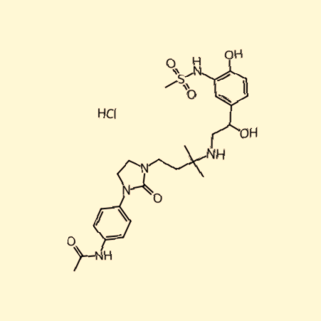 CC(=O)Nc1ccc(N2CCN(CCC(C)(C)NCC(O)c3ccc(O)c(NS(C)(=O)=O)c3)C2=O)cc1.Cl